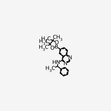 CC(Nc1ncnc2ccc(B3OC(C)(C)C(C)(C)O3)cc12)c1ccccc1